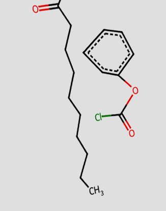 CCCCCCCCCC(=O)O.O=C(Cl)Oc1ccccc1